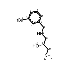 CC(C)(C)c1cccc(CNC[C@@H](O)CN)c1